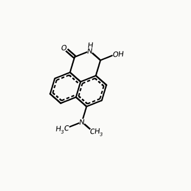 CN(C)c1ccc2c3c(cccc13)C(=O)NC2O